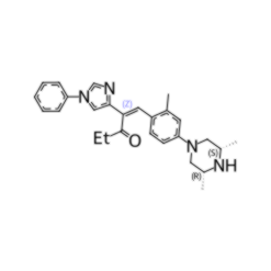 CCC(=O)/C(=C\c1ccc(N2C[C@@H](C)N[C@@H](C)C2)cc1C)c1cn(-c2ccccc2)cn1